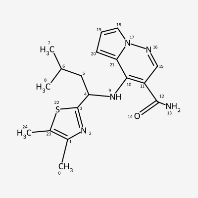 Cc1nc(C(CC(C)C)Nc2c(C(N)=O)cnn3cccc23)sc1C